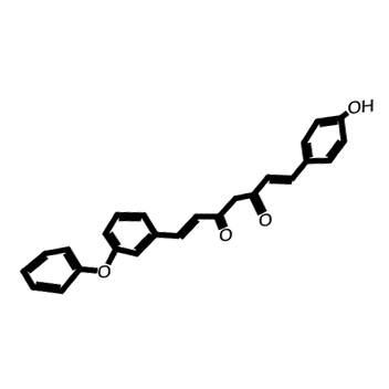 O=C(C=Cc1ccc(O)cc1)CC(=O)C=Cc1cccc(Oc2ccccc2)c1